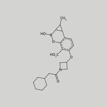 CC1C2B(O)Oc3c(ccc(OC4CN(C(=O)CC5CCCCC5)C4)c3C(=O)O)C12